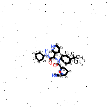 CC(C)(C)c1ccc(N(C(=O)C23CCC(CC2)N3C#N)C(C(=O)NC2CCCCC2)c2cccnc2)cc1